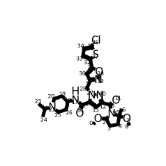 COC1CCC(C)(OC)N1C(=O)c1cc(C(=O)NC2CCN(C(C)C)CC2)n(Cc2cc(-c3ccc(Cl)s3)on2)n1